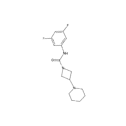 O=C(Nc1cc(F)cc(F)c1)N1CC(N2CCCCC2)C1